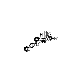 CC[C@@H](Nc1nsnc1Nc1cccc(C(=O)N2CCN(c3ccccn3)CC2)c1O)c1cc(C(C)C)co1